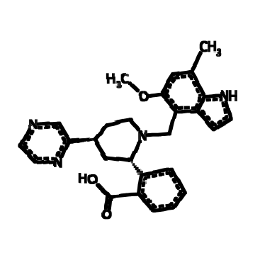 COc1cc(C)c2[nH]ccc2c1CN1CC[C@H](c2cnccn2)C[C@H]1c1ccccc1C(=O)O